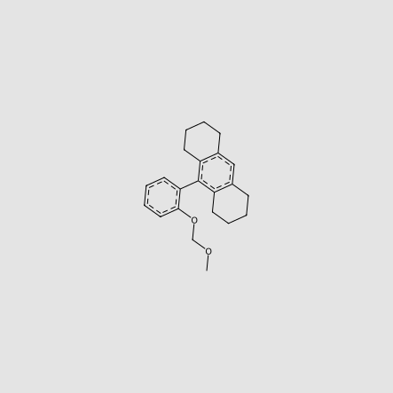 COCOc1ccccc1-c1c2c(cc3c1CCCC3)CCCC2